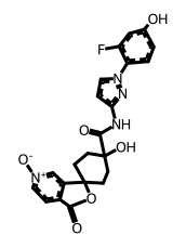 O=C1OC2(CCC(O)(C(=O)Nc3ccn(-c4ccc(O)cc4F)n3)CC2)c2c[n+]([O-])ccc21